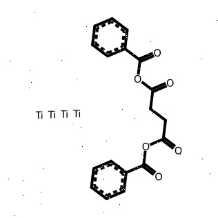 O=C(CCC(=O)OC(=O)c1ccccc1)OC(=O)c1ccccc1.[Ti].[Ti].[Ti].[Ti]